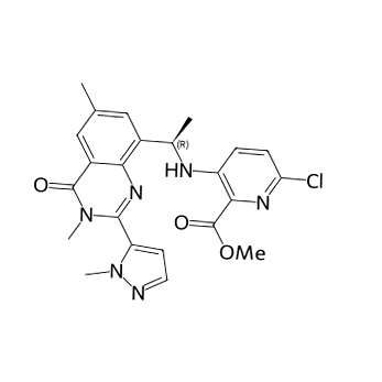 COC(=O)c1nc(Cl)ccc1N[C@H](C)c1cc(C)cc2c(=O)n(C)c(-c3ccnn3C)nc12